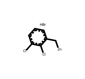 Br.Clc1cccc([CH2][Zn])c1Cl